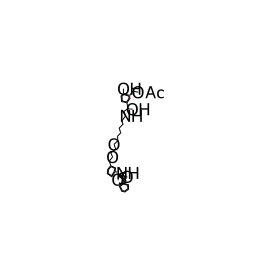 CC(=O)OCc1cc([C@@H](O)CNCCCCCCOCCOCc2cccc(NS(=O)(=O)c3ccccc3)c2)ccc1O